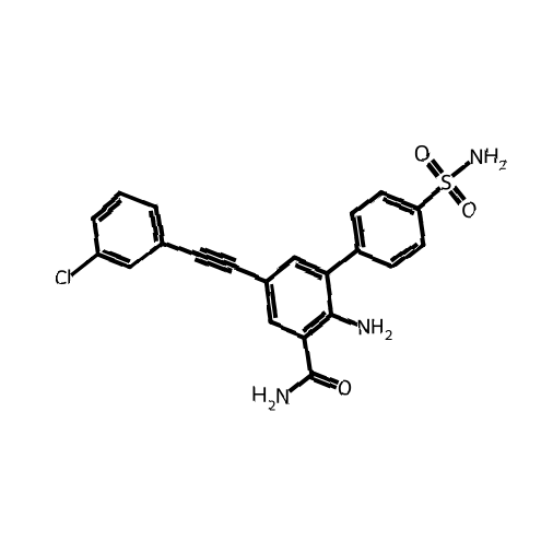 NC(=O)c1cc(C#Cc2cccc(Cl)c2)cc(-c2ccc(S(N)(=O)=O)cc2)c1N